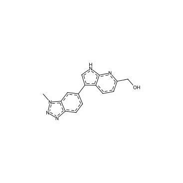 Cn1nnc2ccc(-c3c[nH]c4nc(CO)ccc34)cc21